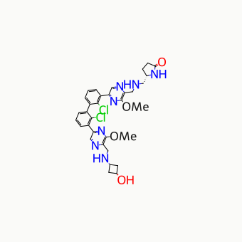 COc1nc(-c2cccc(-c3cccc(-c4cnc(CN[C@H]5C[C@H](O)C5)c(OC)n4)c3Cl)c2Cl)cnc1CNC[C@@H]1CCC(=O)N1